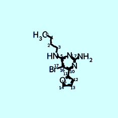 CCCCNc1nc(N)nc(-c2ccco2)c1Br